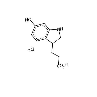 Cl.O=C(O)CCC1CNc2cc(O)ccc21